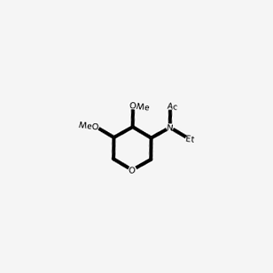 CCN(C(C)=O)C1COCC(OC)C1OC